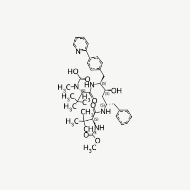 COC(=O)N[C@H](C(=O)N[C@@H](Cc1ccccc1)C[C@H](O)[C@H](Cc1ccc(-c2ccccn2)cc1)NC(=O)[C@@H](N(C)C(=O)O)C(C)(C)C)C(C)(C)C